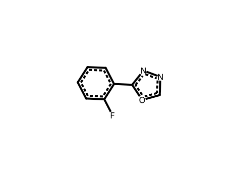 Fc1ccccc1-c1nnco1